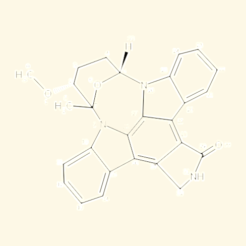 CO[C@@H]1CC[C@H]2OC1(C)n1c3ccccc3c3c4c(c5c6ccccc6n2c5c31)C(=O)NC4